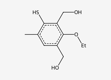 CCOc1c(CO)cc(C)c(S)c1CO